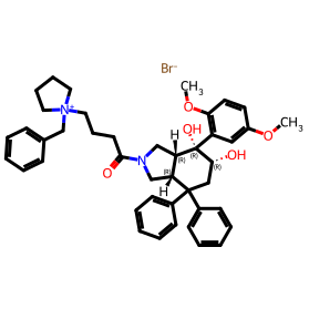 COc1ccc(OC)c([C@@]2(O)[C@H](O)CC(c3ccccc3)(c3ccccc3)[C@@H]3CN(C(=O)CCC[N+]4(Cc5ccccc5)CCCC4)C[C@@H]32)c1.[Br-]